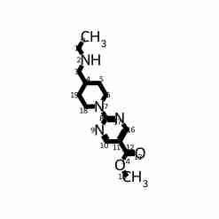 CCNCC1CCN(c2ncc(C(=O)OC)cn2)CC1